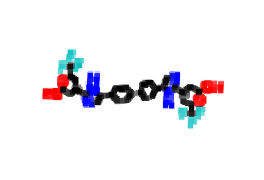 O=C(O)C[C@@H](CCC(F)(F)F)c1ncc(-c2ccc(-c3ccc(-c4cnc([C@H](CCC(F)(F)F)CC(=O)O)[nH]4)cc3)cc2)[nH]1